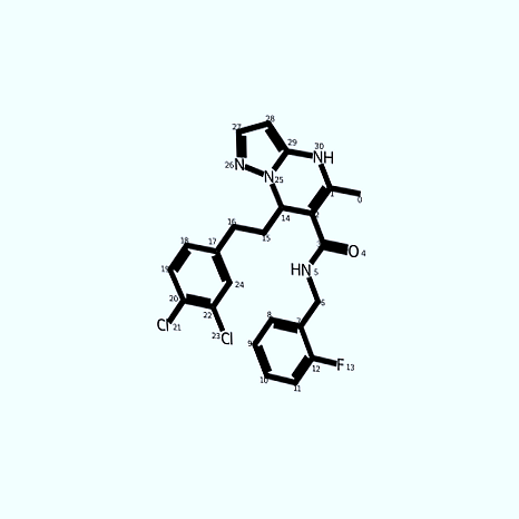 CC1=C(C(=O)NCc2ccccc2F)C(CCc2ccc(Cl)c(Cl)c2)n2nccc2N1